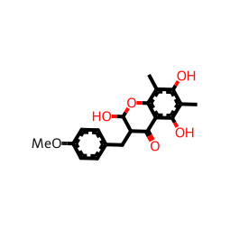 COc1ccc(CC2C(=O)c3c(O)c(C)c(O)c(C)c3OC2O)cc1